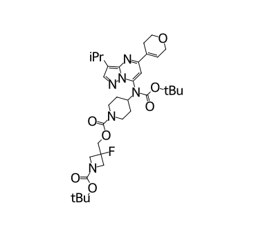 CC(C)c1cnn2c(N(C(=O)OC(C)(C)C)C3CCN(C(=O)OCC4(F)CN(C(=O)OC(C)(C)C)C4)CC3)cc(C3=CCOCC3)nc12